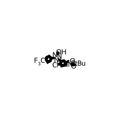 CC(C)(C)S(=O)(=O)NCc1ccc(Cl)c(-c2nc(O)nc(-c3ccc(C(F)(F)F)cc3)n2)c1